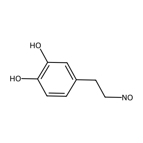 O=NCCc1ccc(O)c(O)c1